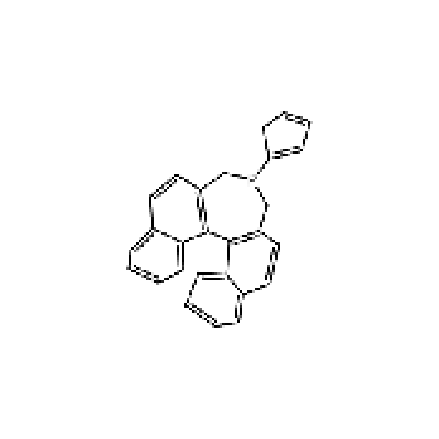 C1=CCC(P2Cc3ccc4ccccc4c3-c3c(ccc4ccccc34)C2)=C1